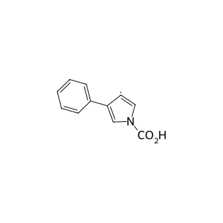 O=C(O)n1c[c]c(-c2ccccc2)c1